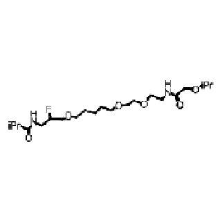 CC(C)OCC(=O)NCCOCCOCCCCCOCC(F)CNC(=O)C(C)C